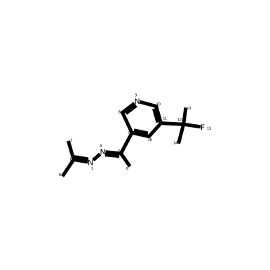 CC(C)=N/N=C(\C)c1cncc(C(C)(C)F)c1